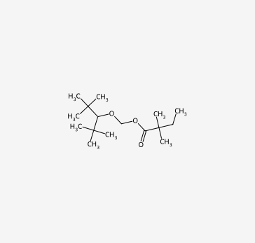 CCC(C)(C)C(=O)OCOC(C(C)(C)C)C(C)(C)C